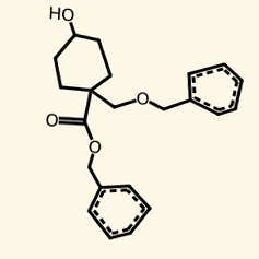 O=C(OCc1ccccc1)C1(COCc2ccccc2)CCC(O)CC1